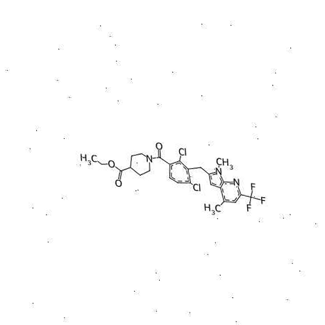 CCOC(=O)C1CCN(C(=O)c2ccc(Cl)c(Cc3cc4c(C)cc(C(F)(F)F)nc4n3C)c2Cl)CC1